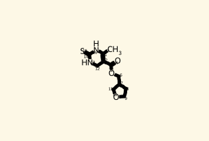 CC1=C(C(=O)OCC2CCOC2)CNC(=S)N1